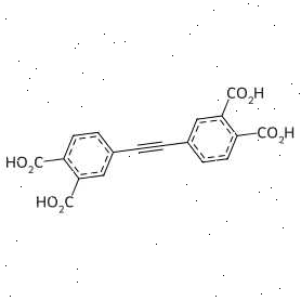 O=C(O)c1ccc(C#Cc2ccc(C(=O)O)c(C(=O)O)c2)cc1C(=O)O